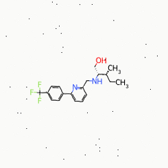 CC[C@H](C)[C@@H](CO)NCc1cccc(-c2ccc(C(F)(F)F)cc2)n1